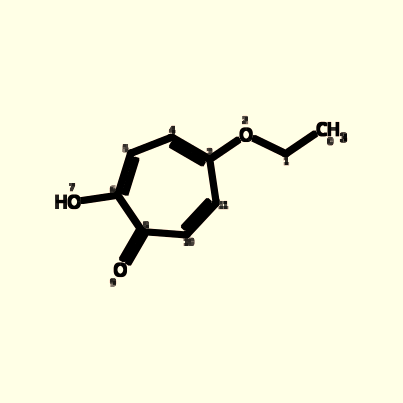 CCOc1ccc(O)c(=O)cc1